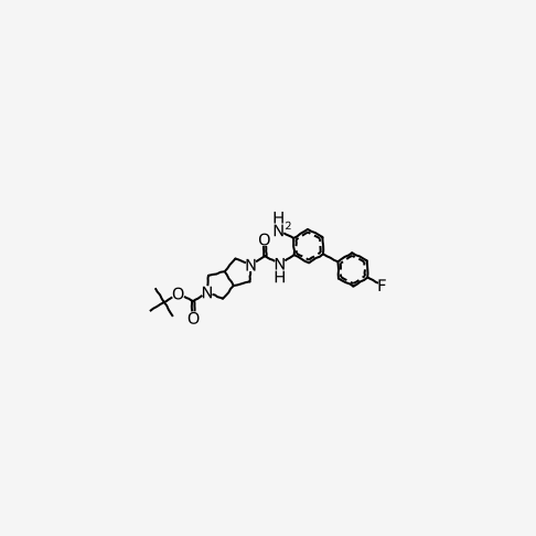 CC(C)(C)OC(=O)N1CC2CN(C(=O)Nc3cc(-c4ccc(F)cc4)ccc3N)CC2C1